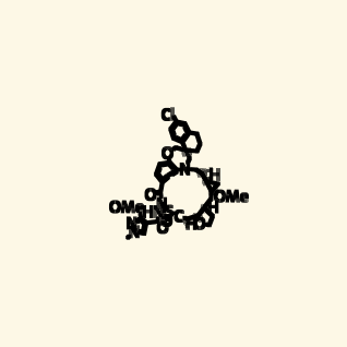 COc1nn(C)cc1C(=O)NS1(=O)=NC(=O)c2ccc3c(c2)N(C[C@H](C)[C@H]2C[C@@]2(OC)C[C@H]2CCO[C@@H]2[C@H](C)C1)C[C@@]1(CCCc2cc(Cl)ccc21)CO3